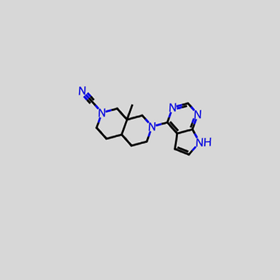 CC12CN(C#N)CCC1CCN(c1ncnc3[nH]ccc13)C2